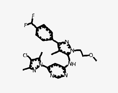 COCCn1nc(-c2ccc(C(F)F)cc2)c(C)c1Nc1cc(-n2nc(C)c(Cl)c2C)ncn1